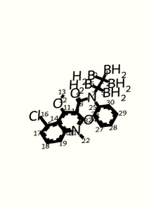 BC(B)(B)C(B)(B)N(C(=O)c1c(OC)c2c(Cl)cccc2n(C)c1=O)c1ccccc1